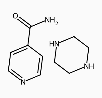 C1CNCCN1.NC(=O)c1ccncc1